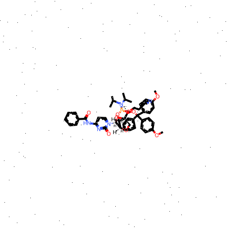 COc1ccc(C(O[C@@H](C)[C@@]23CO[C@@H]([C@H](n4ccc(NC(=O)c5ccccc5)nc4=O)O2)[C@@H]3OP(OCCC#N)N(C(C)C)C(C)C)(c2ccccc2)c2ccc(OC)cc2)cc1